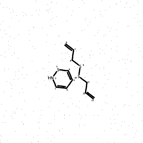 C1=CNSC=C1.C=CCSSCC=C